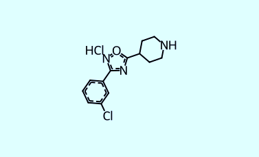 Cl.Clc1cccc(-c2noc(C3CCNCC3)n2)c1